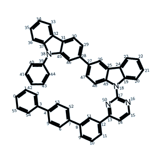 c1ccc(-c2ccc(-c3cccc(-c4ccnc(-n5c6ccccc6c6cc(-c7ccc8c9ccccc9n(-c9ccccc9)c8c7)ccc65)n4)c3)cc2)cc1